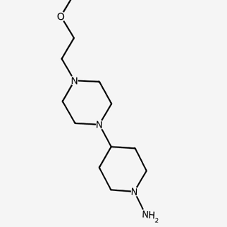 COCCN1CCN(C2CCN(N)CC2)CC1